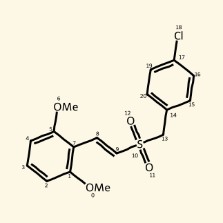 COc1cccc(OC)c1C=CS(=O)(=O)Cc1ccc(Cl)cc1